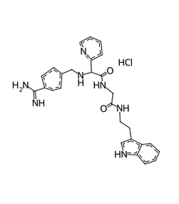 Cl.N=C(N)c1ccc(CNC(C(=O)NCC(=O)NCCc2c[nH]c3ccccc23)c2ccccn2)cc1